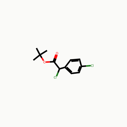 CC(C)(C)OC(=O)C(Cl)c1ccc(Cl)cc1